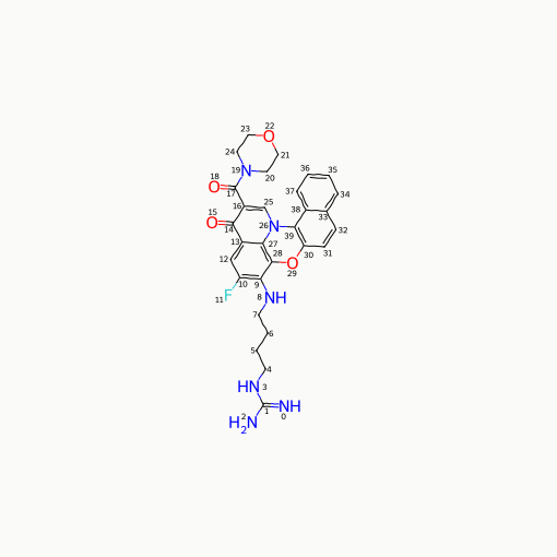 N=C(N)NCCCCNc1c(F)cc2c(=O)c(C(=O)N3CCOCC3)cn3c2c1Oc1ccc2ccccc2c1-3